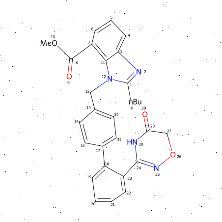 CCCCc1nc2cccc(C(=O)OC)c2n1Cc1ccc(-c2ccccc2C2=NOCC(=O)N2)cc1